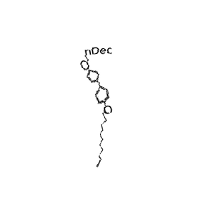 C=CCCCCCCCCCOc1ccc(-c2ccc(OCCCCCCCCCCCC)cc2)cc1